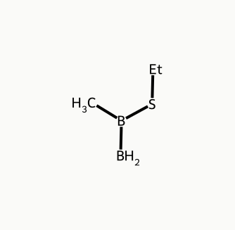 BB(C)SCC